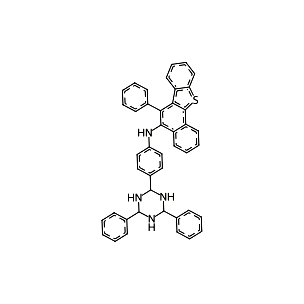 c1ccc(-c2c(Nc3ccc(C4NC(c5ccccc5)NC(c5ccccc5)N4)cc3)c3ccccc3c3sc4ccccc4c23)cc1